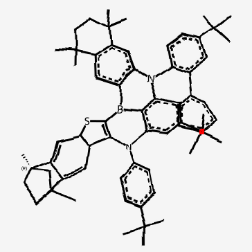 CC12CC[C@](C)(C1)C1=CC3SC4=C(C3C=C12)N(c1ccc(C(C)(C)C)cc1)c1cc(C(C)(C)C)cc2c1B4c1cc3c(cc1N2c1ccc(C(C)(C)C)cc1-c1ccccc1)C(C)(C)CCC3(C)C